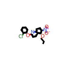 CCCOc1c([N+](=O)[O-])ccc2nc(Oc3ccccc3Cl)ccc12